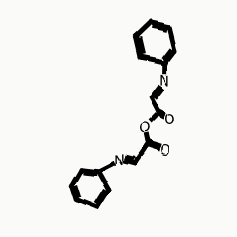 O=C(C=Nc1ccccc1)OC(=O)C=Nc1ccccc1